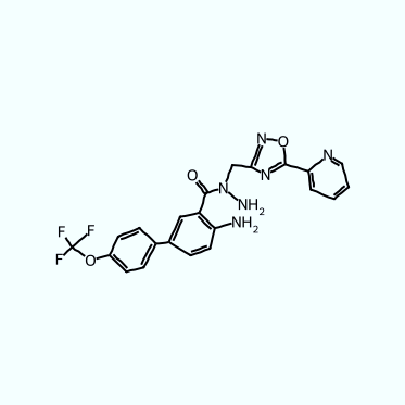 Nc1ccc(-c2ccc(OC(F)(F)F)cc2)cc1C(=O)N(N)Cc1noc(-c2ccccn2)n1